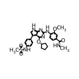 CNC(=O)c1ccc(Nc2nc(OC3CCCC3)c3c(-c4ccc(NS(C)(=O)=O)cc4)c[nH]c3n2)c(OC)c1